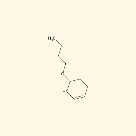 CCCCOC1CCC=CN1